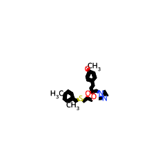 COc1ccc(CCC2(Cn3ccnc3)OCC(CSCc3ccc(C)cc3C)O2)cc1